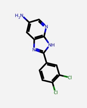 Nc1cnc2[nH]c(-c3ccc(Cl)c(Cl)c3)nc2c1